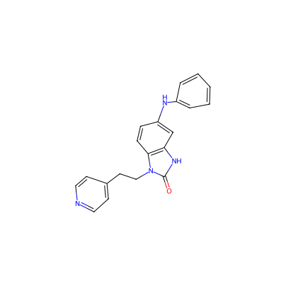 O=c1[nH]c2cc(Nc3ccccc3)ccc2n1CCc1ccncc1